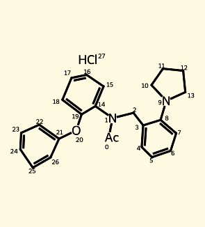 CC(=O)N(Cc1ccccc1N1CCCC1)c1ccccc1Oc1ccccc1.Cl